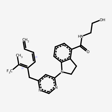 C=C/C=C\C(Cc1cc(N2CCc3c(C(=O)NCCO)cccc32)ncn1)=C(/C)C(F)(F)F